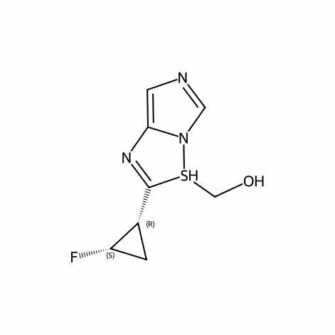 OC[SH]1C([C@@H]2C[C@@H]2F)=Nc2cncn21